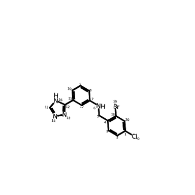 Clc1ccc(CNc2cccc(-c3nnc[nH]3)c2)c(Br)c1